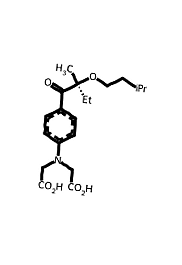 CC[C@](C)(OCCC(C)C)C(=O)c1ccc(N(CC(=O)O)CC(=O)O)cc1